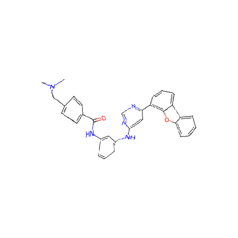 CN(C)Cc1ccc(C(=O)Nc2cccc(Nc3cc(-c4cccc5c4oc4ccccc45)ncn3)c2)cc1